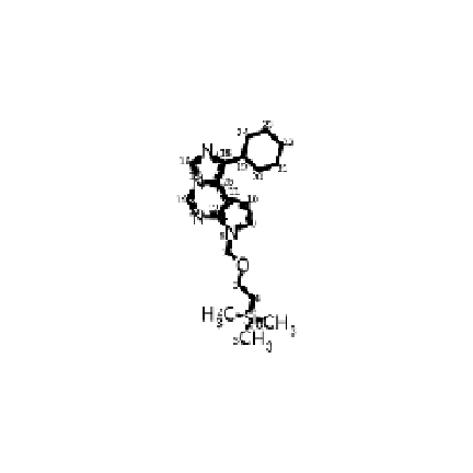 C[Si](C)(C)CCOCn1ccc2c1ncn1cnc(C3CCCCC3)c21